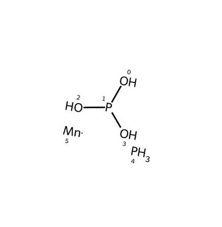 OP(O)O.P.[Mn]